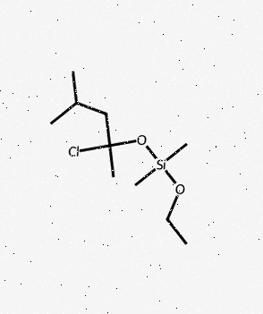 CCO[Si](C)(C)OC(C)(Cl)CC(C)C